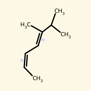 C/C=C\C=C(/C)C(C)C